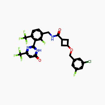 O=C(NCc1ccc(C(F)(F)F)c(-c2nc(C(F)(F)F)cc(=O)[nH]2)c1F)C1CC(OCc2cc(F)cc(Cl)c2)C1